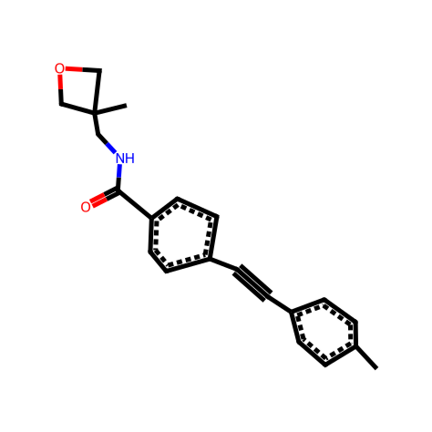 Cc1ccc(C#Cc2ccc(C(=O)NCC3(C)COC3)cc2)cc1